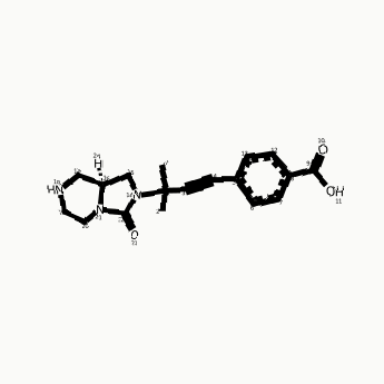 CC(C)(C#Cc1ccc(C(=O)O)cc1)N1C[C@@H]2CNCCN2C1=O